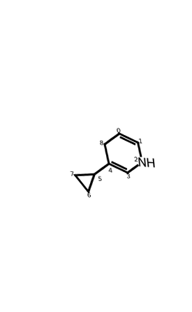 C1=CNC=C(C2CC2)C1